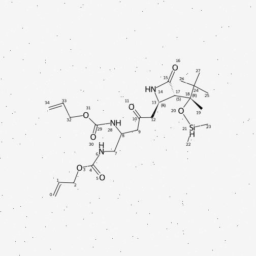 C=CCOC(=O)NCC(CC(=O)C[C@H]1NC(=O)[C@@H]1[C@@](C)(O[SiH](C)C)C(C)(C)C)NC(=O)OCC=C